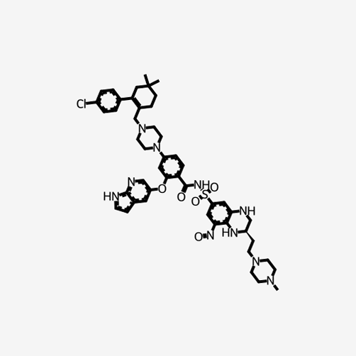 CN1CCN(CC[C@@H]2CNc3cc(S(=O)(=O)NC(=O)c4ccc(N5CCN(CC6=C(c7ccc(Cl)cc7)CC(C)(C)CC6)CC5)cc4Oc4cnc5[nH]ccc5c4)cc(N=O)c3N2)CC1